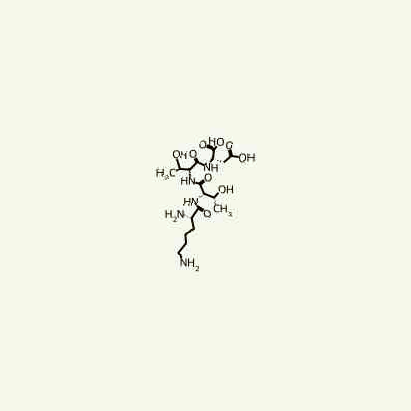 C[C@@H](O)[C@H](NC(=O)[C@@H](NC(=O)[C@@H](N)CCCCN)[C@@H](C)O)C(=O)N[C@@H](CC(=O)O)C(=O)O